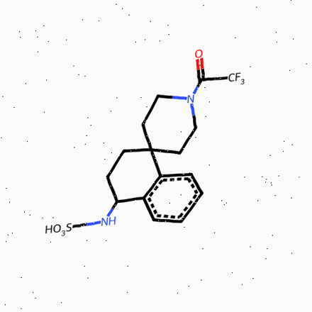 O=C(N1CCC2(CCC(NS(=O)(=O)O)c3ccccc32)CC1)C(F)(F)F